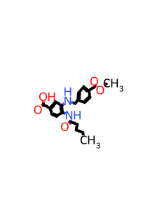 CCCCC(=O)Nc1ccc(C(=O)O)cc1NCc1ccc(C(=O)OC)cc1